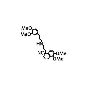 COc1ccc(CCCNCCCC2(C#N)CCCc3c2ccc(OC)c3OC)cc1OC